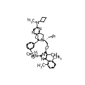 Cc1cccc(C)c1-c1nc2nc(c1C)OC[C@@H](CC(C)C)N(Cc1cncc(N(C)C3CCC3)n1)C(=O)c1cccc(c1)S(=O)(=O)N2